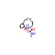 CCNC(=O)C(=O)[C@@H]1CC=CCCCCCc2ccccc2C(=O)N1